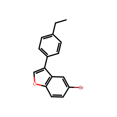 CCc1ccc(-c2coc3ccc(Br)cc23)cc1